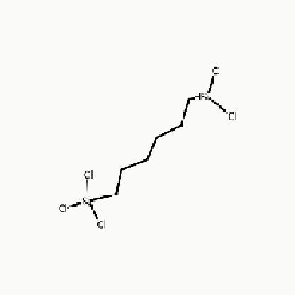 Cl[SiH](Cl)CCCCCC[Si](Cl)(Cl)Cl